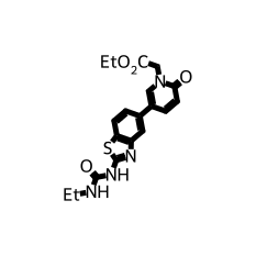 CCNC(=O)Nc1nc2cc(-c3ccc(=O)n(CC(=O)OCC)c3)ccc2s1